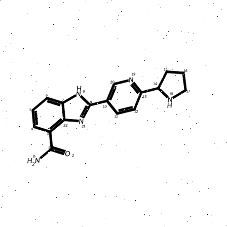 NC(=O)c1cccc2[nH]c(-c3ccc(C4CCCN4)nc3)nc12